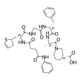 C[C@H](NC(=O)[C@@H](Cc1ccccc1)NC(=O)CNC(=O)[C@@H](CC1CC=CS1)NC(=O)CCC(=O)Nc1ccccc1)C(=O)N1CCC[C@@H](C(=O)O)C1